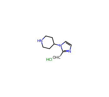 Cl.O=Cc1nccn1C1CCNCC1